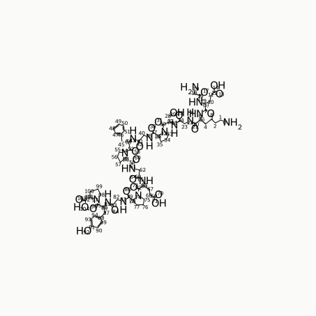 NCCCC[C@H](NC(=O)[C@H](CCC(=O)O)NC(=O)CN)C(=O)NCC(=O)N[C@@H](CO)C(=O)N1CCC[C@H]1C(=O)NCC(=O)N[C@@H](Cc1ccccc1)C(=O)N1CCC[C@H]1C(=O)NCC(=O)N[C@@H](CCC(=O)O)C(=O)N1CCC[C@H]1C(=O)NCC(=O)N[C@@H](Cc1ccc(O)cc1)C(=O)N1CCC[C@H]1C(=O)O